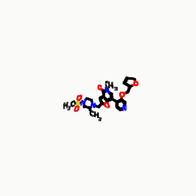 CC1CN(S(C)(=O)=O)CCN1Cc1cc2c(=O)n(C)cc(-c3ccncc3OCC3CCCO3)c2o1